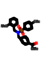 COC(=O)c1ccc(CN(Cc2ccccc2OC)S(=O)(=O)c2ccc(OC(C)=O)cc2)cc1